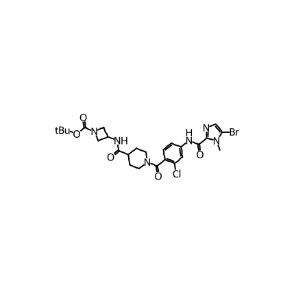 Cn1c(Br)cnc1C(=O)Nc1ccc(C(=O)N2CCC(C(=O)NC3CN(C(=O)OC(C)(C)C)C3)CC2)c(Cl)c1